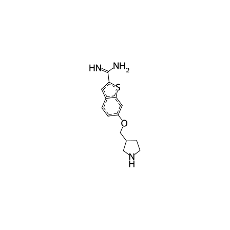 N=C(N)c1cc2ccc(OCC3CCNC3)cc2s1